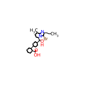 CCCc1nc2c(C)ccc([C@H](O)c3ccc(-c4ccccc4C(=O)O)cc3)n2c1Br